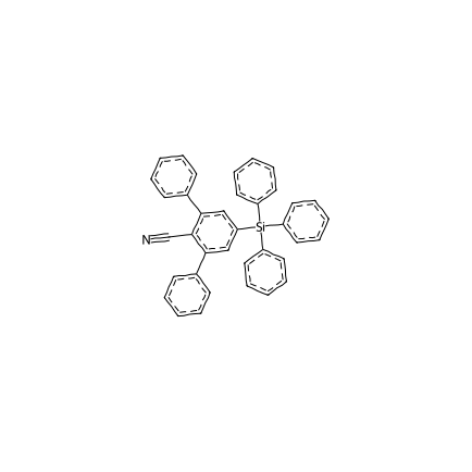 N#Cc1c(-c2ccccc2)cc([Si](c2ccccc2)(c2ccccc2)c2ccccc2)cc1-c1ccccc1